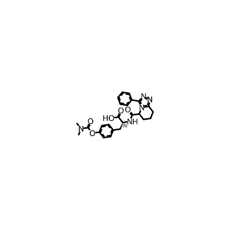 CN(C)C(=O)Oc1ccc(C[C@H](NC(=O)C2CCCc3nnc(-c4ccccc4)n32)C(=O)O)cc1